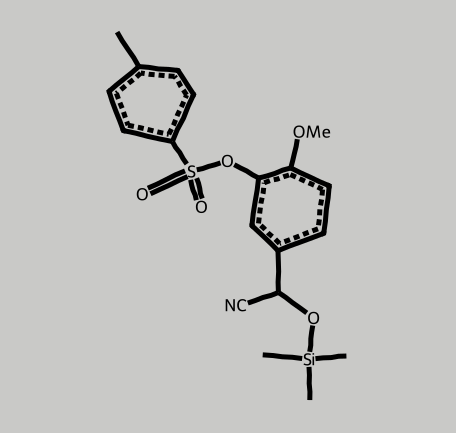 COc1ccc(C(C#N)O[Si](C)(C)C)cc1OS(=O)(=O)c1ccc(C)cc1